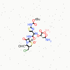 BOC(=O)[C@H](CC(N)=O)O/N=C(\C(=O)N[C@@H]1C(=O)N2C(C=O)=C(CCl)C[S+]([O-])[C@H]12)c1csc(NC(=O)OC(C)(C)C)n1